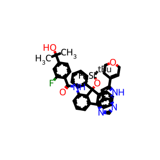 CC(C)(C)[SiH2]OC(c1ccccc1)(c1ccccc1)c1c(NC(=O)c2ccc(C(C)(C)O)cc2F)cccc1-c1ncnc2[nH]c(C3=CCOCC3)cc12